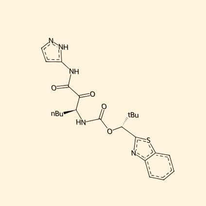 CCCC[C@H](NC(=O)O[C@@H](c1nc2ccccc2s1)C(C)(C)C)C(=O)C(=O)Nc1ccn[nH]1